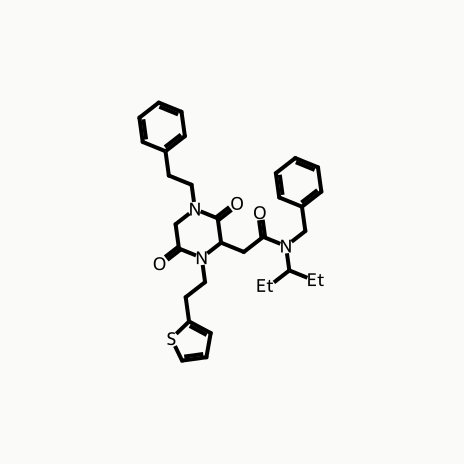 CCC(CC)N(Cc1ccccc1)C(=O)CC1C(=O)N(CCc2ccccc2)CC(=O)N1CCc1cccs1